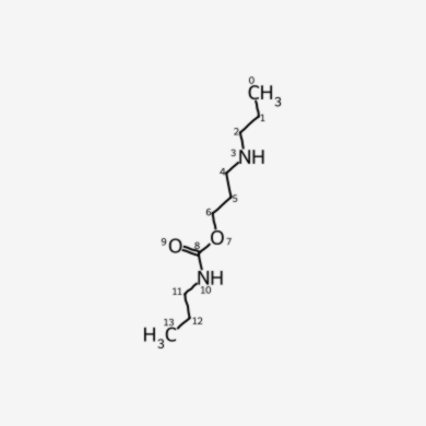 CCCNCCCOC(=O)NCCC